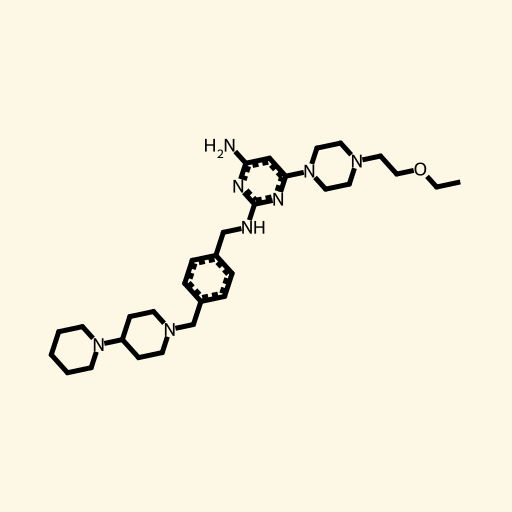 CCOCCN1CCN(c2cc(N)nc(NCc3ccc(CN4CCC(N5CCCCC5)CC4)cc3)n2)CC1